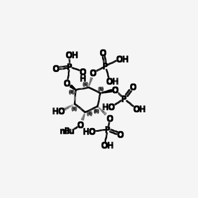 CCCCO[C@@H]1[C@H](O)[C@@H](OP(=O)(O)O)[C@H](OP(=O)(O)O)[C@@H](OP(=O)(O)O)[C@@H]1OP(=O)(O)O